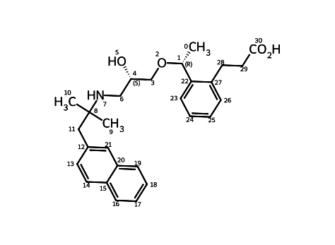 C[C@@H](OC[C@@H](O)CNC(C)(C)Cc1ccc2ccccc2c1)c1ccccc1CCC(=O)O